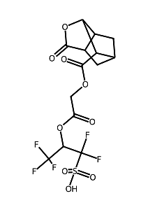 O=C(COC(=O)C1C2CC3C(=O)OC1C3C2)OC(C(F)(F)F)C(F)(F)S(=O)(=O)O